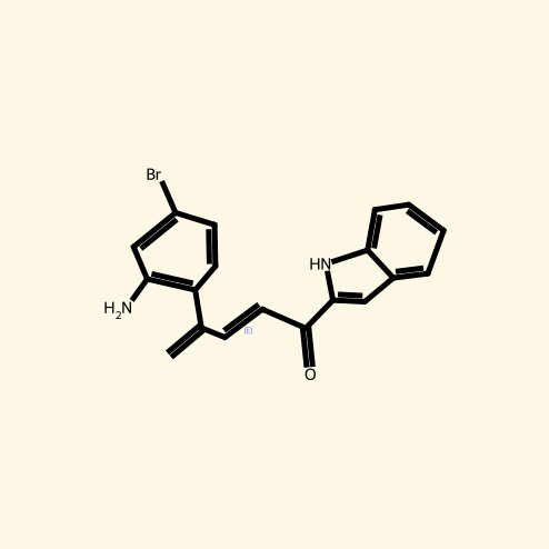 C=C(/C=C/C(=O)c1cc2ccccc2[nH]1)c1ccc(Br)cc1N